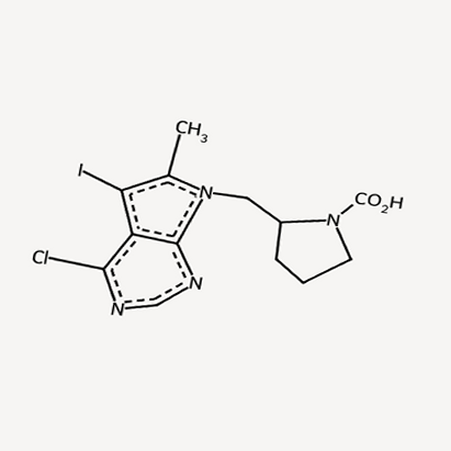 Cc1c(I)c2c(Cl)ncnc2n1CC1CCCN1C(=O)O